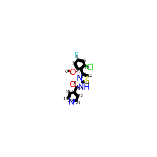 COc1cc(F)cc(Cl)c1-c1csc(NC(=O)c2ccncc2)n1